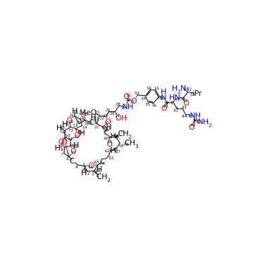 C=C1C[C@@H]2CC[C@@]34C[C@H]5OC6C(O[C@H]7CC[C@H](CC(=O)C[C@@H]8[C@@H](OC)[C@@H](C[C@H](O)CNC(=O)OCc9ccc(NC(=O)[C@H](CCCNC(N)=O)NC(=O)[C@@H](N)C(C)C)cc9)O[C@H]8C[C@H]8O[C@@H](CC[C@@H]1O2)C[C@@H](C)C8=C)O[C@@H]7[C@@H]6O3)[C@H]5O4